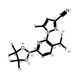 Cc1cc(C#N)nn1-c1nc(B2OC(C)(C)C(C)(C)O2)ccc1C(F)F